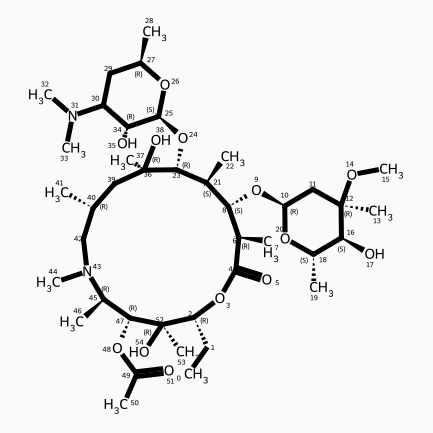 CC[C@H]1OC(=O)[C@H](C)[C@@H](O[C@H]2C[C@@](C)(OC)[C@@H](O)[C@H](C)O2)[C@H](C)[C@@H](O[C@@H]2O[C@H](C)CC(N(C)C)[C@H]2O)[C@](C)(O)C[C@@H](C)CN(C)[C@H](C)[C@@H](OC(C)=O)[C@]1(C)O